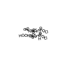 O=C(NCc1ccc(S(=O)(=O)N2CCN(CC(=O)N3CCCC3)CC2)s1)c1ccc(Cl)cc1.O=C(NCc1ccc(S(=O)(=O)N2CCN(c3ccc(O)cc3)CC2)s1)c1ccc(Cl)cc1